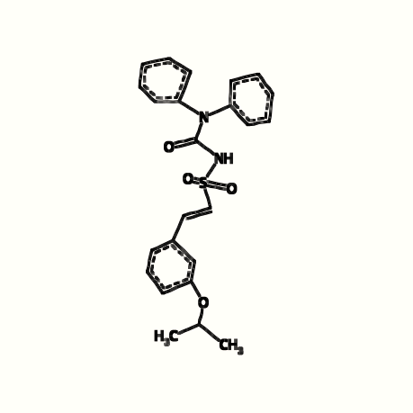 CC(C)Oc1cccc(C=CS(=O)(=O)NC(=O)N(c2ccccc2)c2ccccc2)c1